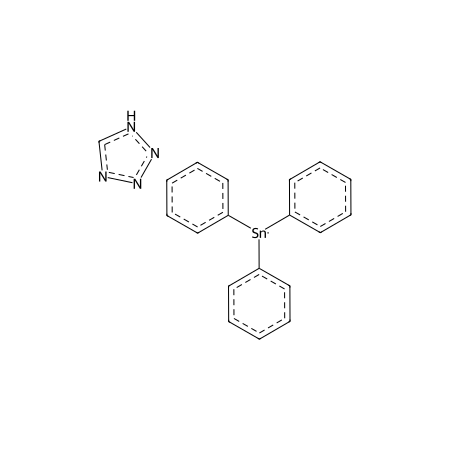 c1cc[c]([Sn]([c]2ccccc2)[c]2ccccc2)cc1.c1nnn[nH]1